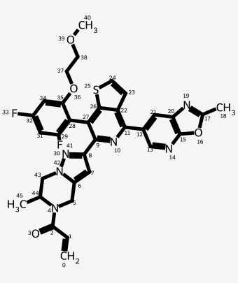 C=CC(=O)N1Cc2cc(-c3nc(-c4cnc5oc(C)nc5c4)c4ccsc4c3-c3c(F)cc(F)cc3OCCOC)nn2CC1C